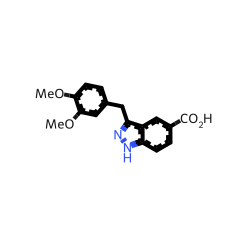 COc1ccc(Cc2n[nH]c3ccc(C(=O)O)cc23)cc1OC